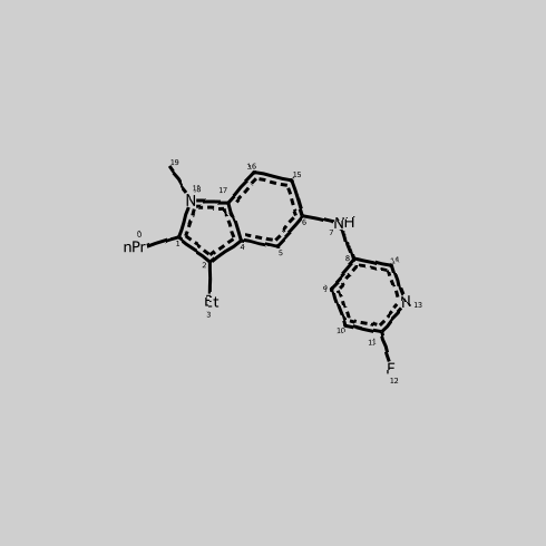 CCCc1c(CC)c2cc(Nc3ccc(F)nc3)ccc2n1C